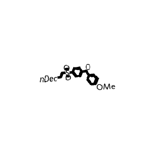 CCCCCCCCCCCCS(=O)(=O)c1ccc(C(=O)c2ccc(OC)cc2)cc1